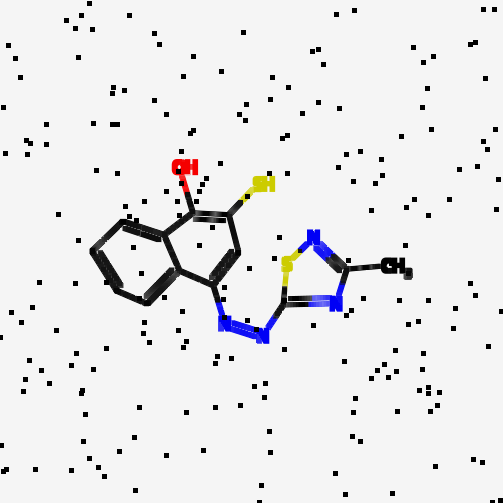 Cc1nsc(/N=N\c2cc(S)c(O)c3ccccc23)n1